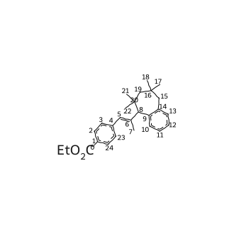 CCOC(=O)c1ccc(/C=C(\C)C2c3ccccc3CC(C)(C)CC2(C)C)cc1